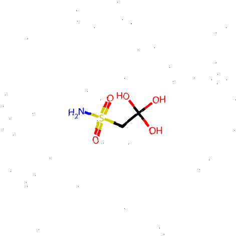 NS(=O)(=O)CC(O)(O)O